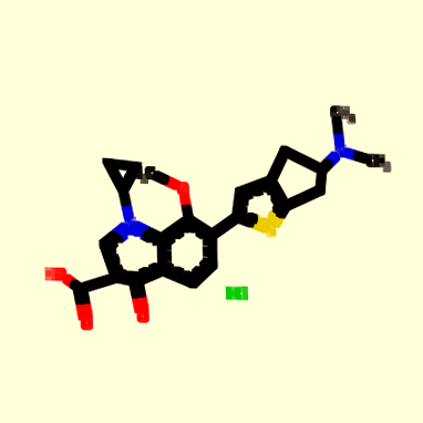 COc1c(-c2cc3c(s2)CC(N(C)C)C3)ccc2c(=O)c(C(=O)O)cn(C3CC3)c12.Cl